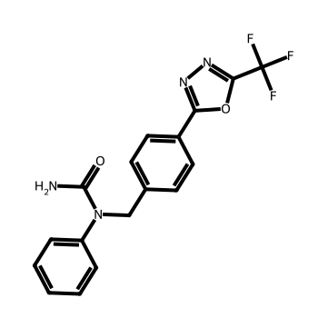 NC(=O)N(Cc1ccc(-c2nnc(C(F)(F)F)o2)cc1)c1ccccc1